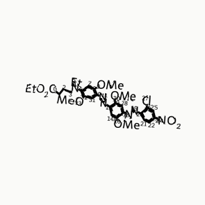 CCOC(=O)CCCN(CC)c1cc(OC)c(N=Nc2cc(OC)c(N=Nc3ccc([N+](=O)[O-])cc3Cl)cc2OC)cc1OC